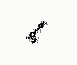 CN(C)c1ccnc(N[C@H]2CC[C@@H](CNCCc3ccc(C(C)(C)C)cc3)CC2)n1